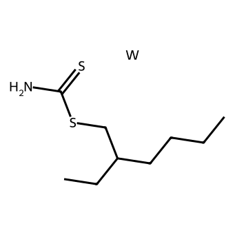 CCCCC(CC)CSC(N)=S.[W]